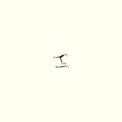 C=C(Br)C=O.CNC